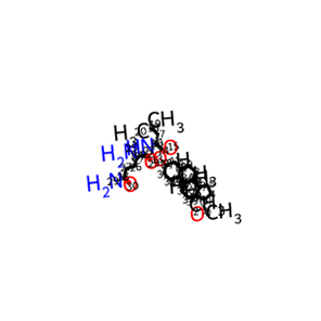 CC(=O)[C@H]1CC[C@H]2[C@@H]3CC[C@H]4C[C@H](OC(=O)[C@H](CC(C)C)NC(=O)[C@@H](N)CCC(N)=O)CC[C@]4(C)[C@H]3CC[C@]12C